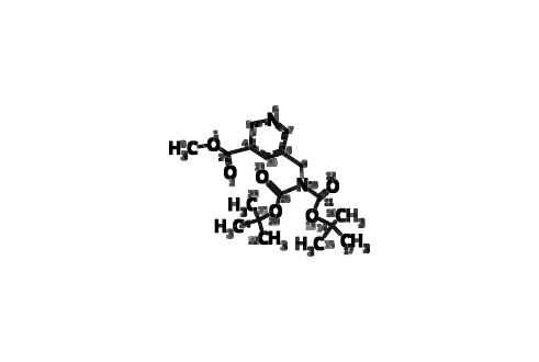 COC(=O)c1cncc(CN(C(=O)OC(C)(C)C)C(=O)OC(C)(C)C)c1